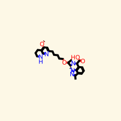 COc1cc(CCCCCOC2CN(C(C(=O)O)c3cccc4c(C)nn(C)c34)C2)nc2c1CCCN2